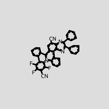 N#Cc1c(F)c(F)c(-c2ccccc2-c2nc3ccccc3c3c2cc(C#N)c2nc(-c4ccccc4)c(-c4ccccc4)nc23)c(F)c1F